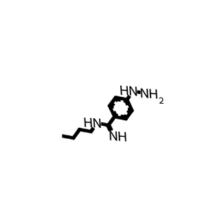 CCCCNC(=N)c1ccc(NN)cc1